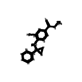 COC(=O)c1cnc(NC2(c3ccccn3)CC2)c(F)c1